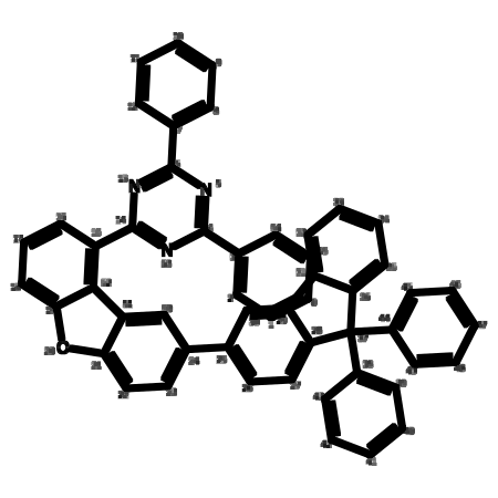 c1ccc(-c2nc(-c3ccccc3)nc(-c3cccc4oc5ccc(-c6ccc7c(c6)-c6ccccc6C7(c6ccccc6)c6ccccc6)cc5c34)n2)cc1